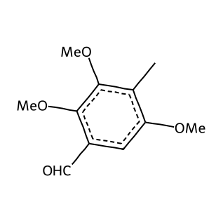 COc1cc(C=O)c(OC)c(OC)c1C